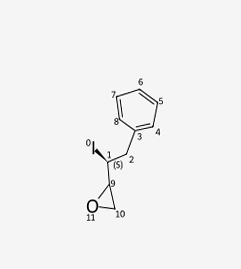 I[C@@H](Cc1ccccc1)C1CO1